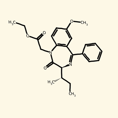 CCOC(=O)CN1C(=O)[C@H]([C@@H](C)CC)N=C(c2ccccc2)c2cc(OC)ccc21